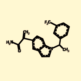 C=C(C(N)=O)c1ccc2c(ccn2C(C)c2cccc(C(F)(F)F)c2)c1